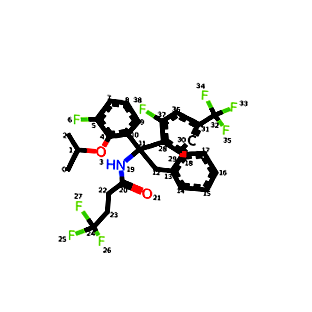 CC(C)Oc1c(F)cccc1C(Cc1ccccc1)(NC(=O)CCC(F)(F)F)c1ccc(C(F)(F)F)cc1F